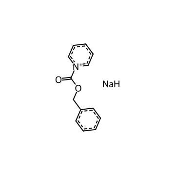 O=C(OCc1ccccc1)[n+]1ccccc1.[NaH]